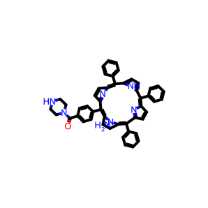 Nn1c2c(-c3ccccc3)c3nc(c(-c4ccccc4)c4ccc([nH]4)c(-c4ccccc4)c4nc(c(-c5ccc(C(=O)N6CCNCC6)cc5)c1CC2)C=C4)C=C3